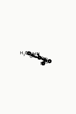 CN1CCC(NC(=O)OCC#Cc2ccc(OCc3nnc(SC4C=CCCC4)n3-c3cccnc3)cc2C#N)CC1